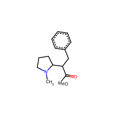 COC(=O)C(Cc1ccccc1)C1CCCN1C